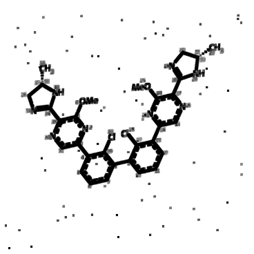 COc1nc(-c2cccc(-c3cccc(-c4cnc(C5=NC[C@H](C)N5)c(OC)n4)c3Cl)c2Cl)cnc1C1=NC[C@H](C)N1